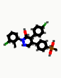 Cc1c(F)cccc1-n1ncc(-c2ccc(S(C)(=O)=O)cc2)c(-c2ccc(F)cc2)c1=O